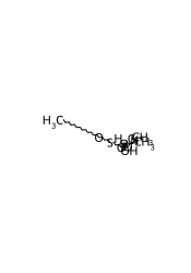 CCCCCCCCCCCCCCOCCCSCCCOP(=O)(O)OCC[N+](C)(C)C